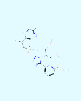 COCC(COC)n1c(NS(=O)(=O)C(C)C(C)c2cnc(C)cn2)nnc1-c1cccc(OC)n1